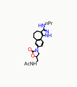 CCCNc1n[nH]c2c1CCCc1cc(N3CC(CNC(C)=O)OC3=O)ccc1-2